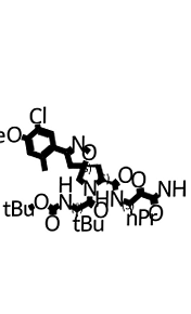 CCC[C@H](NC(=O)[C@@H]1C[C@]2(CC(c3cc(Cl)c(OC)cc3C)=NO2)CN1C(=O)[C@@H](NC(=O)OC(C)(C)C)C(C)(C)C)C(=O)C(N)=O